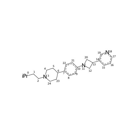 CC(C)CCN1CCC(c2ccc(N3CC(c4cccnc4)C3)cc2)CC1